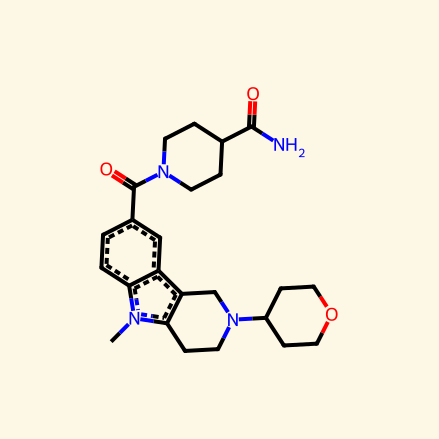 Cn1c2c(c3cc(C(=O)N4CCC(C(N)=O)CC4)ccc31)CN(C1CCOCC1)CC2